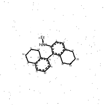 CCNc1ccc2c(c1-c1cccc3c1CCCC3)CCCC2